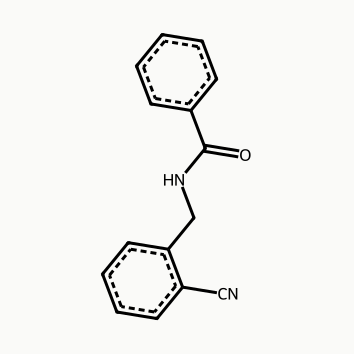 N#Cc1ccccc1CNC(=O)c1ccccc1